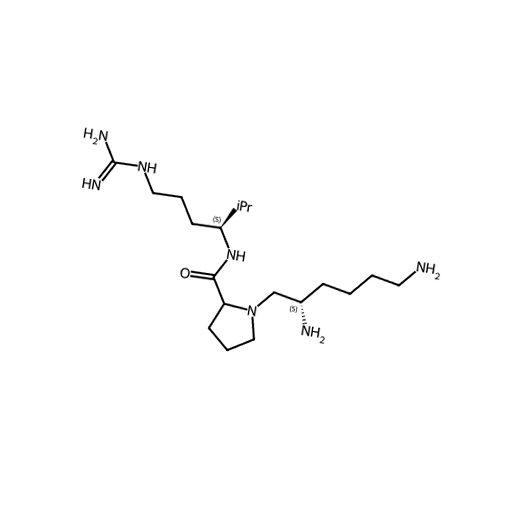 CC(C)[C@H](CCCNC(=N)N)NC(=O)C1CCCN1C[C@@H](N)CCCCN